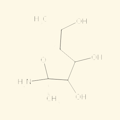 C[C@H](O)[C@H]1O[C@](C)(N)C(O)C1O